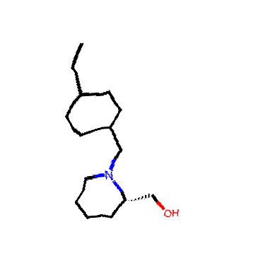 CCC1CCC(CN2CCCC[C@H]2CO)CC1